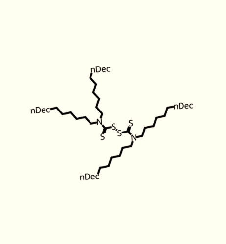 CCCCCCCCCCCCCCCCN(CCCCCCCCCCCCCCCC)C(=S)SSC(=S)N(CCCCCCCCCCCCCCCC)CCCCCCCCCCCCCCCC